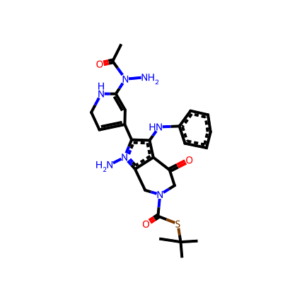 CC(=O)N(N)C1=CC(c2c(Nc3ccccc3)c3c(n2N)CN(C(=O)SC(C)(C)C)CC3=O)=CCN1